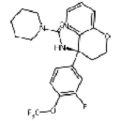 O=C(N[C@]1(c2ccc(OC(F)(F)F)c(F)c2)CCOc2cccnc21)N1CCCCC1